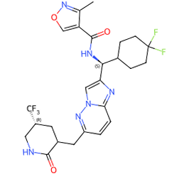 Cc1nocc1C(=O)N[C@H](c1cn2nc(CC3C[C@@H](C(F)(F)F)CNC3=O)ccc2n1)C1CCC(F)(F)CC1